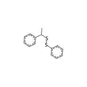 CC(SSc1ccccc1)c1ccccc1